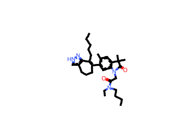 CCCCCC1=C(c2cc3c(cc2C)C(C)(C)C(=O)N3CC(=O)N(CC)CCCC)CCCc2c[nH]nc21